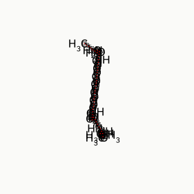 CCCCCCCCCCCC(=O)NC(CCCCNC(=O)CCOCCOCCOCCOCCOCCOCCOCCOCCOCCOCCOCCOCCNC(=O)CCN1C(=O)CC(SCCCCCCNCCNC(=O)NC(C)(C)C(C)=O)C1=O)C(N)=O